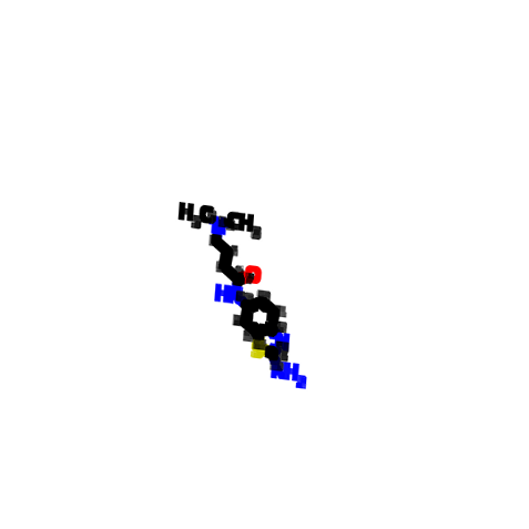 CN(C)C/C=C/C(=O)Nc1ccc2nc(N)sc2c1